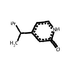 CC(C)C(C)c1cc[nH]c(=O)c1